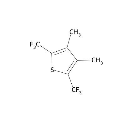 Cc1c(C(F)(F)F)sc(C(F)(F)F)c1C